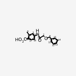 Cc1cc(NC(=O)COCc2ccccc2)ccc1C(=O)O